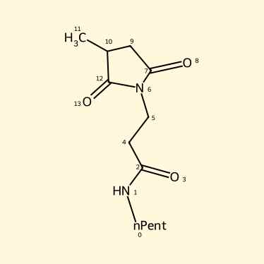 CCCCCNC(=O)CCN1C(=O)CC(C)C1=O